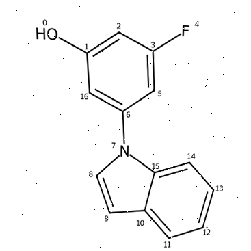 Oc1cc(F)cc(-n2ccc3c[c]ccc32)c1